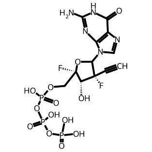 C#C[C@]1(F)C(n2cnc3c(=O)[nH]c(N)nc32)O[C@](F)(COP(=O)(O)OP(=O)(O)OP(=O)(O)O)[C@H]1O